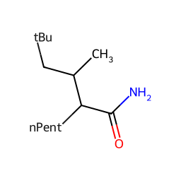 CCCCCC(C(N)=O)C(C)CC(C)(C)C